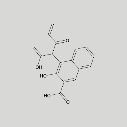 C=CC(=O)C(C(=C)O)c1c(O)c(C(=O)O)cc2ccccc12